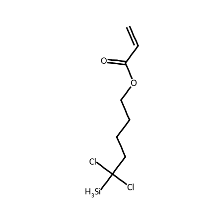 C=CC(=O)OCCCCC([SiH3])(Cl)Cl